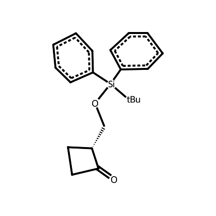 CC(C)(C)[Si](OC[C@H]1CCC1=O)(c1ccccc1)c1ccccc1